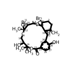 C=C1CC[C@H](Br)[C@@]2(C)CC[C@@H](Br)[C@@](C)(O)CCC(O)C(C)(C)OC(=O)c3ccc(O)c(c3)C[C@H]12